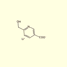 O=C([O-])c1ccc(CO)nc1.[Li+]